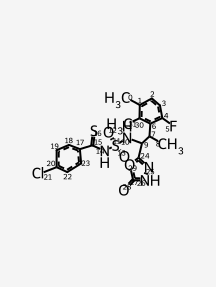 Cc1ccc(F)c(C(C)C(NS(=O)(=O)NC(=S)c2ccc(Cl)cc2)c2n[nH]c(=O)o2)c1C